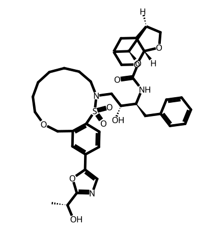 C[C@@H](O)c1ncc(-c2ccc3c(c2)COCCCCCCCN(C[C@@H](O)[C@H](Cc2ccccc2)NC(=O)O[C@H]2C4CO[C@H]5OC[C@@H]2C5C4)S3(=O)=O)o1